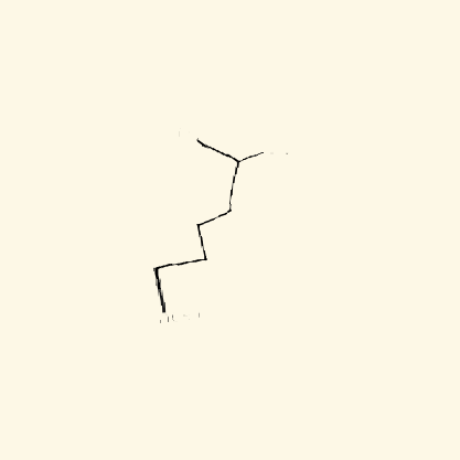 [CH2]CCCCCCCCCCCC(C)CCCCCC[CH2]